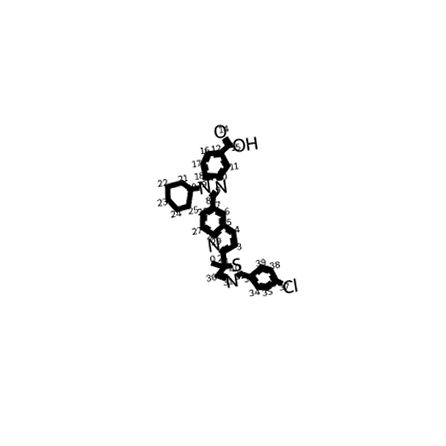 CC1(c2ccc3cc(-c4nc5cc(C(=O)O)ccc5n4C4CCCCC4)ccc3n2)C=NC(c2ccc(Cl)cc2)S1